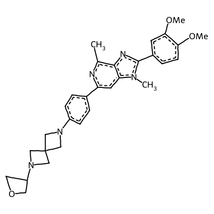 COc1ccc(-c2nc3c(C)nc(-c4ccc(N5CC6(C5)CN(C5COC5)C6)cc4)cc3n2C)cc1OC